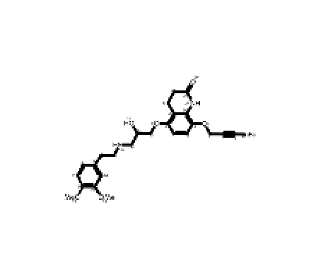 CCCCC#CCOc1ccc(OCC(O)CNCCc2ccc(OC)c(OC)c2)c2c1NC(=O)CC2